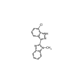 Cn1c(-c2n[nH]c3c(Cl)cccc23)nc2ccccc21